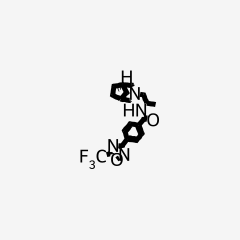 CC(CN1CC2CC[C@H](C2)C1)NC(=O)c1ccc(-c2noc(C(F)(F)F)n2)cc1